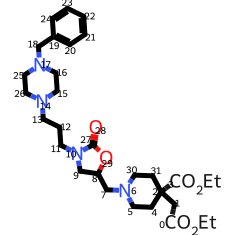 CCOC(=O)CC1(C(=O)OCC)CCN(CC2CN(CCCN3CCN(Cc4ccccc4)CC3)C(=O)O2)CC1